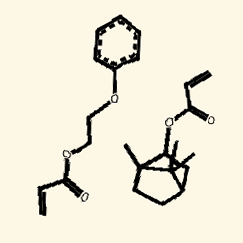 C=CC(=O)OC1CC2CCC1(C)C2(C)C.C=CC(=O)OCCOc1ccccc1